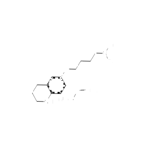 CCCCCCOC=O.CCN(CC)CCCCOc1ccc2c(c1)CCCN2